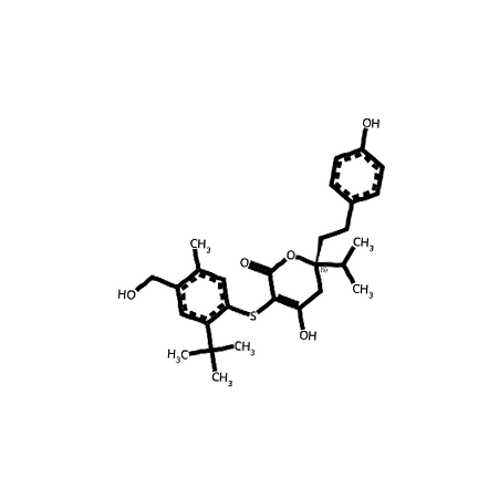 Cc1cc(SC2=C(O)C[C@@](CCc3ccc(O)cc3)(C(C)C)OC2=O)c(C(C)(C)C)cc1CO